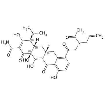 C=CCN(CC(=O)c1ccc(O)c2c1C[C@H]1C[C@H]3[C@H](N(C)C)C(O)=C(C(N)=O)C(=O)[C@@]3(O)C(O)=C1C2=O)C(C)=O